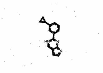 c1cc(-c2nc3nccc-3c[nH]2)cc(C2CC2)c1